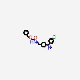 CN(C)C(c1ccc(Cl)cc1)C1CCC(CCNC(=O)COCc2ccccc2)CC1